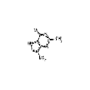 Cc1nc2c([N+](=O)[O-])c[nH]c2c(=O)[nH]1